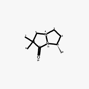 C[C@H]1CCN2CC(C)(C)C(=O)N12